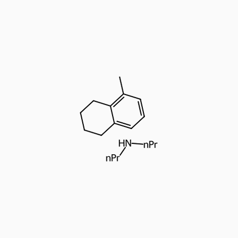 CCCNCCC.Cc1cccc2c1CCCC2